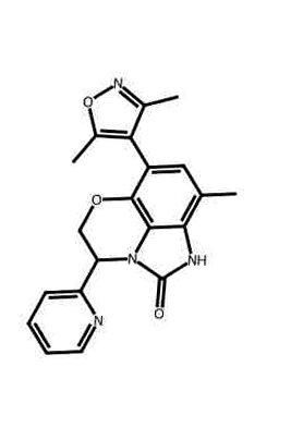 Cc1noc(C)c1-c1cc(C)c2[nH]c(=O)n3c2c1OCC3c1ccccn1